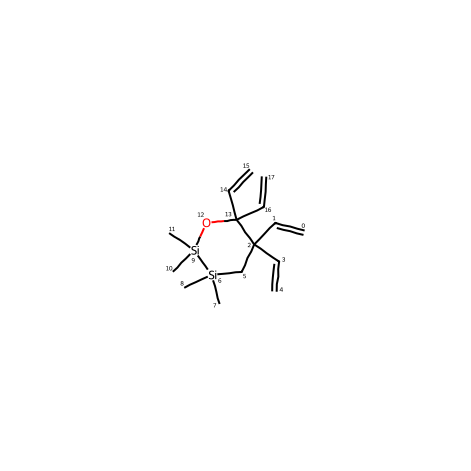 C=CC1(C=C)C[Si](C)(C)[Si](C)(C)OC1(C=C)C=C